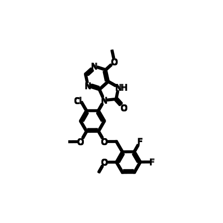 COc1cc(Cl)c(-n2c(=O)[nH]c3c(OC)ncnc32)cc1OCc1c(OC)ccc(F)c1F